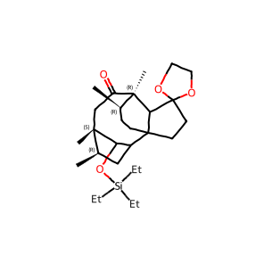 CC[Si](CC)(CC)OC1C2C[C@@H](C)[C@]1(C)CC(=O)[C@@]1(C)C3C4(CCC23CC[C@H]1C)OCCO4